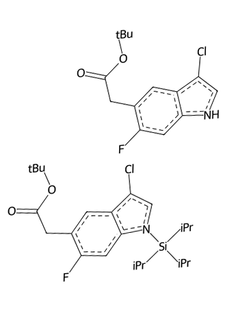 CC(C)(C)OC(=O)Cc1cc2c(Cl)c[nH]c2cc1F.CC(C)[Si](C(C)C)(C(C)C)n1cc(Cl)c2cc(CC(=O)OC(C)(C)C)c(F)cc21